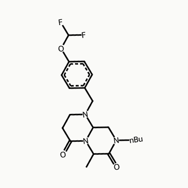 CCCCN1CC2N(Cc3ccc(OC(F)F)cc3)CCC(=O)N2C(C)C1=O